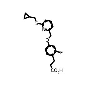 O=C(O)CCc1ccc(OCc2cccc(SCC3CC3)n2)cc1F